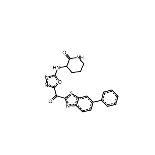 O=C(c1nnc(NC2CCCNC2=O)o1)c1nc2ccc(-c3ccccc3)cc2s1